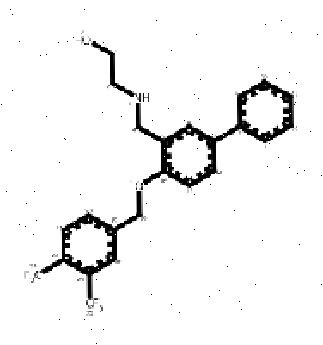 OCCNCc1cc(-c2ccccc2)ccc1OCc1ccc(C(F)(F)F)c(C(F)(F)F)c1